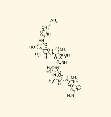 CC(C)[C@H](NC(=O)[C@H](CO)NC(=O)CNC(=O)[C@@H](NC(=O)[C@H](C)NC(=O)CNC(=O)[C@H](C)NC(=O)[C@@H]1CCCN1C(=O)CN)[C@@H](C)O)C(=O)NCC(=O)N[C@@H](C)C(=O)N1C[C@H](O)C[C@H]1C(=O)NCC(=O)N[C@@H](CCCCN)C(=O)O